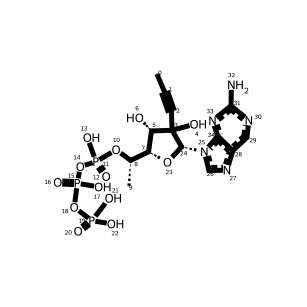 CC#CC1(O)[C@@H](O)[C@@H]([C@H](C)OP(=O)(O)OP(=O)(O)OP(=O)(O)O)O[C@H]1n1cnc2cnc(N)nc21